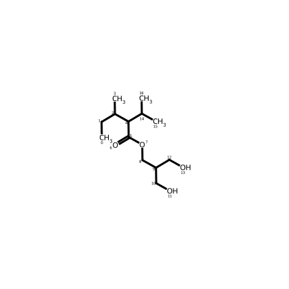 CCC(C)C(C(=O)OCC(CO)CO)C(C)C